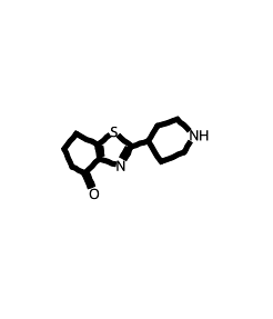 O=C1CCCc2sc(C3CCNCC3)nc21